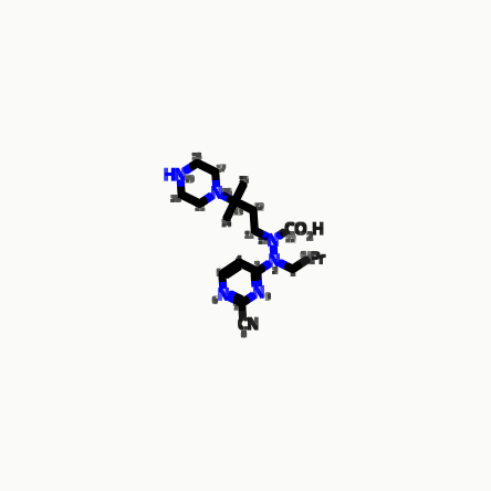 CC(C)CN(c1ccnc(C#N)n1)N(CCC(C)(C)N1CCNCC1)C(=O)O